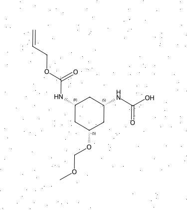 C=CCOC(=O)N[C@@H]1C[C@H](NC(=O)O)C[C@H](OCOC)C1